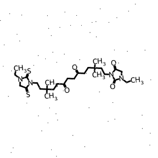 CCN1CC(=O)N(CCC(C)(C)CCC(=O)CCC(=O)CCC(C)(C)CCN2C(=S)CN(CC)C2=S)C1=O